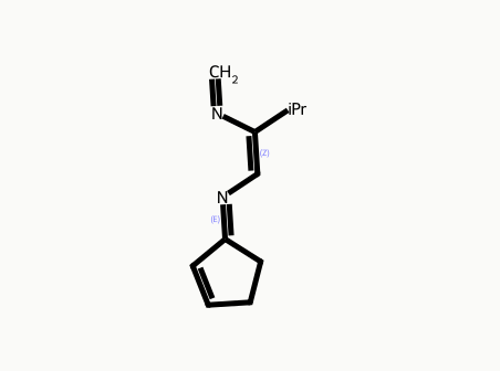 C=N/C(=C\N=C1\C=CCC1)C(C)C